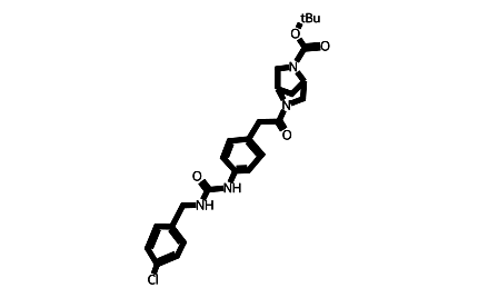 CC(C)(C)OC(=O)N1CC2CC1CN2C(=O)Cc1ccc(NC(=O)NCc2ccc(Cl)cc2)cc1